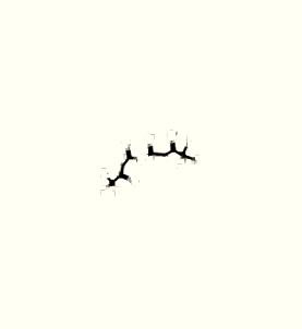 O=C(CC(=O)C(F)(F)F)OC(=O)CC(=O)C(F)(F)F